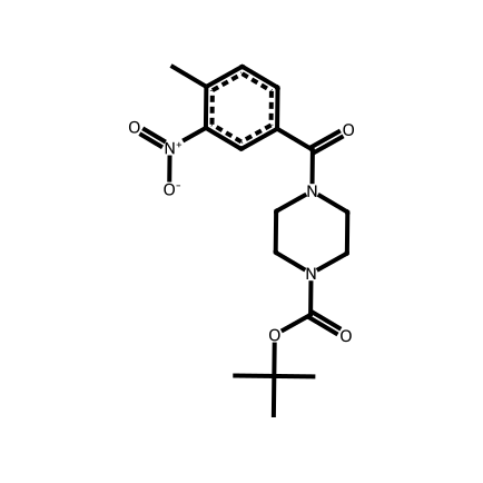 Cc1ccc(C(=O)N2CCN(C(=O)OC(C)(C)C)CC2)cc1[N+](=O)[O-]